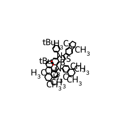 CC(C)(C)c1ccc(N2c3cc(C(C)(C)C)cc4c3B(c3cc5c(cc3N4c3ccc4c(c3-c3ccccc3)C(C)(C)CCC4(C)C)C(C)(C)CCC5(C)C)c3sc4cc5c(cc4c32)C2(C)CCC5(C)C2)cc1